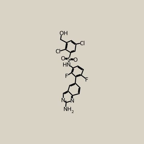 Nc1ncc2cc(-c3c(F)ccc(NS(=O)(=O)c4cc(Cl)cc(CO)c4Cl)c3F)ccc2n1